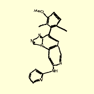 COc1ccc(C)c(-c2cc3cnc(Nc4ccccn4)cc3n3cnnc23)c1C